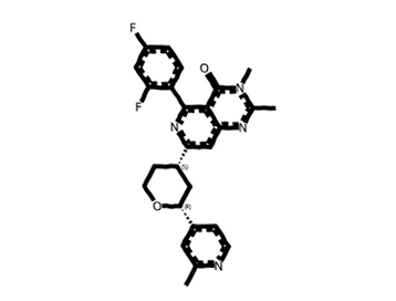 Cc1cc([C@H]2C[C@@H](c3cc4nc(C)n(C)c(=O)c4c(-c4ccc(F)cc4F)n3)CCO2)ccn1